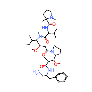 CCC(C)C(C(CC(=O)N1CCCC1C(OC)C(C)C(=O)NC(CN)Cc1ccccc1)OC)N(C)C(=O)C(NC(=O)C1(C)CCCN1C)C(C)C